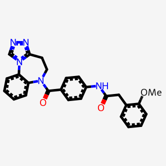 COc1ccccc1CC(=O)Nc1ccc(C(=O)N2CCc3nncn3-c3ccccc32)cc1